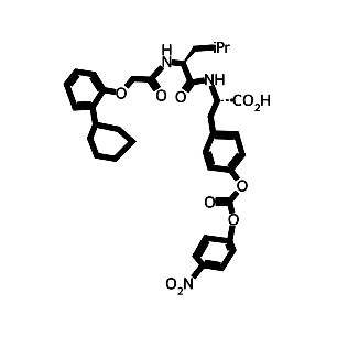 CC(C)C[C@H](NC(=O)COc1ccccc1C1CCCCC1)C(=O)N[C@@H](Cc1ccc(OC(=O)Oc2ccc([N+](=O)[O-])cc2)cc1)C(=O)O